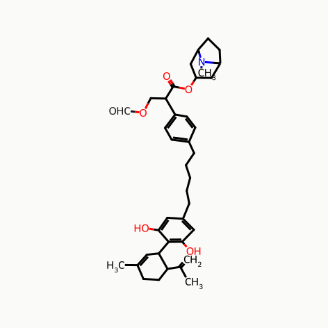 C=C(C)C1CCC(C)=CC1c1c(O)cc(CCCCCc2ccc(C(COC=O)C(=O)OC3CC4CCC(C3)N4C)cc2)cc1O